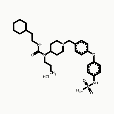 CCCN(C(=O)NCCC1CCCCC1)C1CCN(Cc2ccc(Oc3ccc(NS(C)(=O)=O)cc3)cc2)CC1.Cl